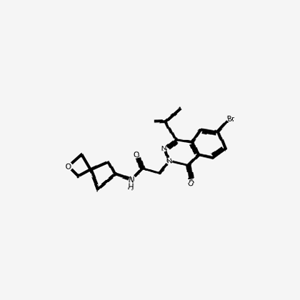 CC(C)c1nn(CC(=O)NC2CC3(COC3)C2)c(=O)c2ccc(Br)cc12